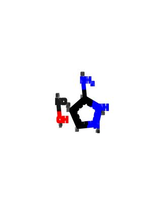 Nc1ccn[nH]1.O=[N+]([O-])O